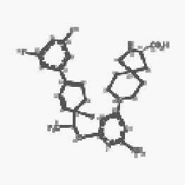 Nc1nc(OC(C(F)(F)F)C2(F)C=CC(c3cc(F)cc(F)c3)=CC2)cc(N2CCC3(CC2)CN[C@H](C(=O)O)C3)n1